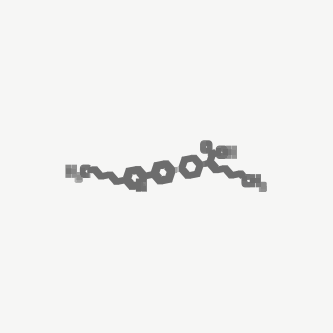 CCCCC=C(C(=O)O)[C@H]1CC[C@H](c2ccc(-c3ccc(CCCCC)cn3)cc2)CC1